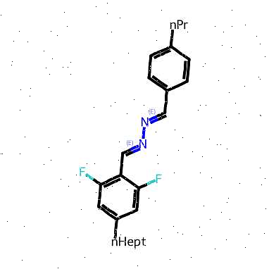 CCCCCCCc1cc(F)c(/C=N/N=C/c2ccc(CCC)cc2)c(F)c1